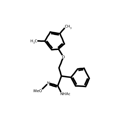 CON=C(NC(C)=O)C(COc1cc(C)cc(C)c1)c1ccccc1